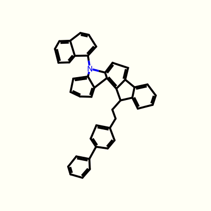 c1ccc(-c2ccc(CCC3c4ccccc4-c4ccc5c(c43)c3ccccc3n5-c3cccc4ccccc34)cc2)cc1